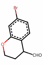 O=CC1CCOc2cc(Br)ccc21